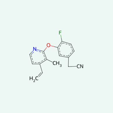 C=Cc1ccnc(Oc2cc(CC#N)ccc2F)c1C